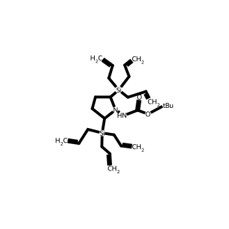 C=CC[Si](CC=C)(CC=C)C1CCC([Si](CC=C)(CC=C)CC=C)N1NC(=O)OC(C)(C)C